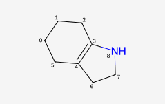 C1CCC2=C(C1)CCN2